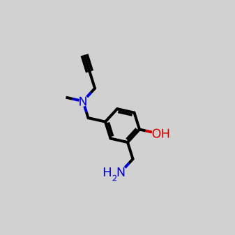 C#CCN(C)Cc1ccc(O)c(CN)c1